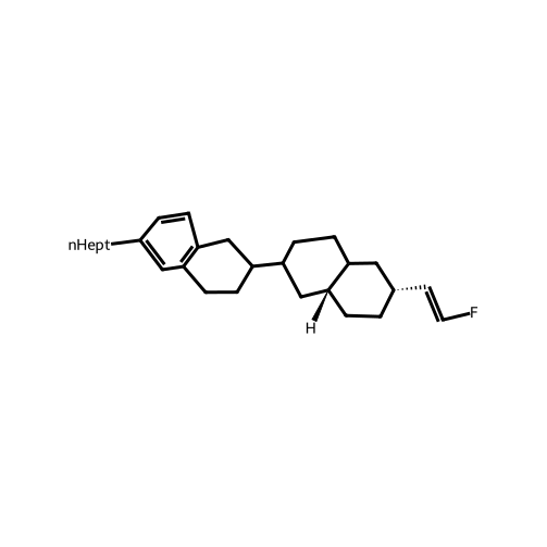 CCCCCCCc1ccc2c(c1)CCC(C1CCC3C[C@H](C=CF)CC[C@@H]3C1)C2